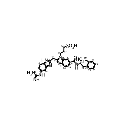 N=C(N)Nc1ccc2[nH]c(Cc3nc4ccc(C(=O)NCCc5ccccc5C(=O)O)cc4n3CCCS(=O)(=O)O)nc2c1